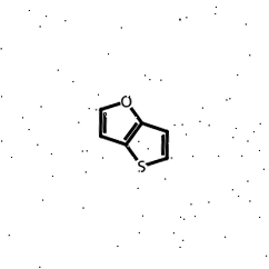 [c]1cc2s[c]cc2o1